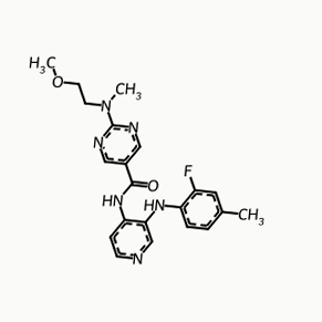 COCCN(C)c1ncc(C(=O)Nc2ccncc2Nc2ccc(C)cc2F)cn1